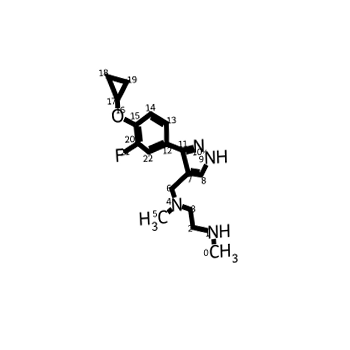 CNCCN(C)Cc1c[nH]nc1-c1ccc(OC2CC2)c(F)c1